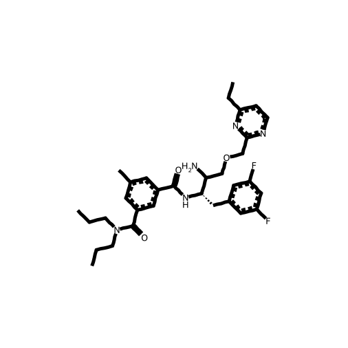 CCCN(CCC)C(=O)c1cc(C)cc(C(=O)N[C@@H](Cc2cc(F)cc(F)c2)C(N)COCc2nccc(CC)n2)c1